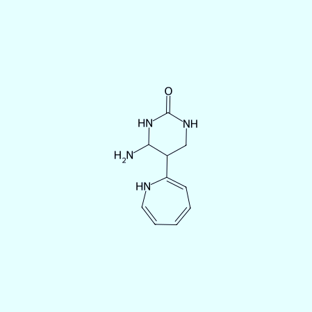 NC1NC(=O)NCC1C1=CC=CC=CN1